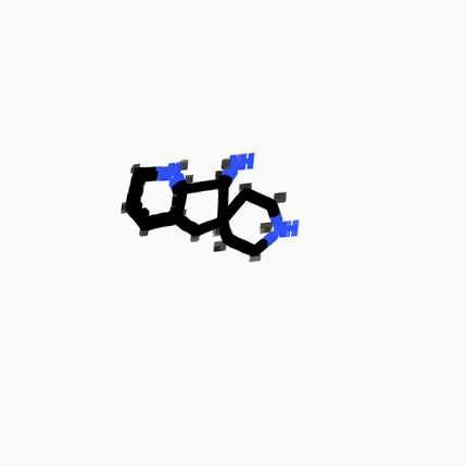 N=C1c2ncccc2CC12CCNCC2